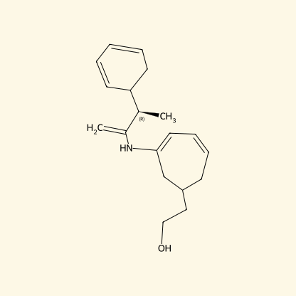 C=C(NC1=CC=CCC(CCO)C1)[C@H](C)C1C=CC=CC1